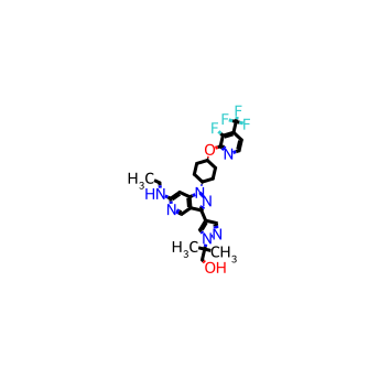 CCNc1cc2c(cn1)c(-c1cnn(C(C)(C)CO)c1)nn2[C@H]1CC[C@@H](Oc2nccc(C(F)(F)F)c2F)CC1